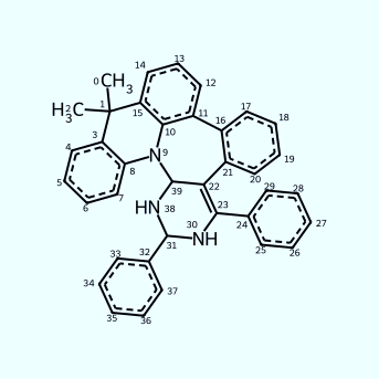 CC1(C)c2ccccc2N2c3c(cccc31)-c1ccccc1C1=C(c3ccccc3)NC(c3ccccc3)NC12